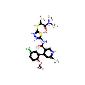 COc1ccc(Cl)c(F)c1-c1cc(C)ncc1C(=O)Nc1nnc(SC(C)C(=O)N(C)C)s1